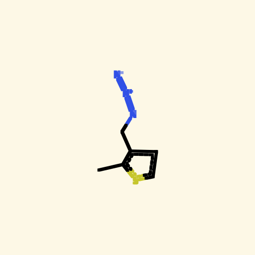 Cc1sccc1CN=[N+]=[N-]